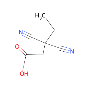 CCC(C#N)(C#N)CC(=O)O